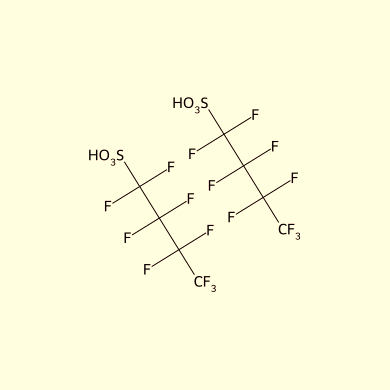 O=S(=O)(O)C(F)(F)C(F)(F)C(F)(F)C(F)(F)F.O=S(=O)(O)C(F)(F)C(F)(F)C(F)(F)C(F)(F)F